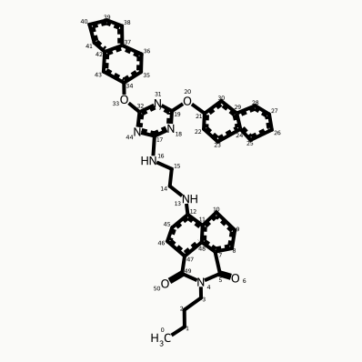 CCCCN1C(=O)c2cccc3c(NCCNc4nc(Oc5ccc6ccccc6c5)nc(Oc5ccc6ccccc6c5)n4)ccc(c23)C1=O